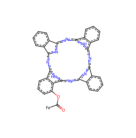 O=[C]([Fe])Oc1cccc2c3nc4nc(nc5[nH]c(nc6nc(nc([nH]3)c12)-c1ccccc1-6)c1ccccc51)-c1ccccc1-4